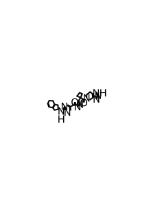 O=C(N1CCc2[nH]nnc2C1)C1(c2nnc(-c3cnc(NC4CC5=C(CCC=C5)C4)nc3)o2)CCC1